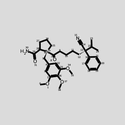 COc1cc(C[N@+]2(C(=O)CCCC[C@@](C#N)(c3ccccc3)C(C)C)CCCC2C(N)=O)cc(OC)c1OC